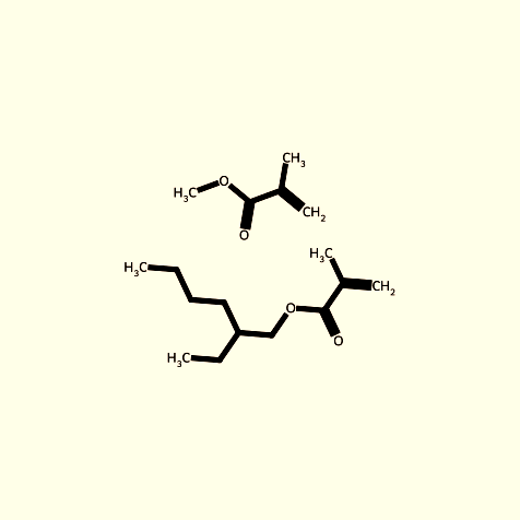 C=C(C)C(=O)OC.C=C(C)C(=O)OCC(CC)CCCC